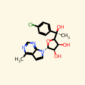 Cc1ncnc2c1ccn2[C@@H]1OC([C@](C)(O)c2ccc(Cl)cc2)[C@@H](O)[C@H]1O